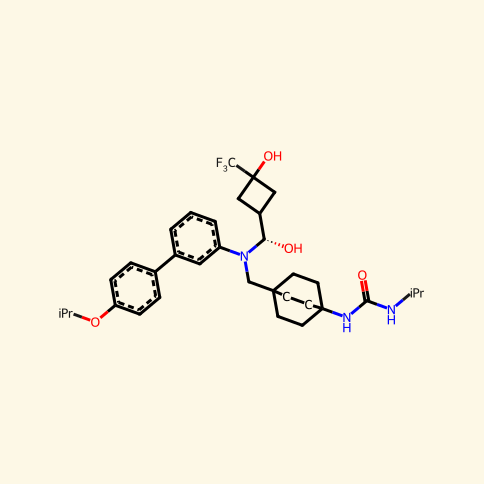 CC(C)NC(=O)NC12CCC(CN(c3cccc(-c4ccc(OC(C)C)cc4)c3)[C@@H](O)C3CC(O)(C(F)(F)F)C3)(CC1)CC2